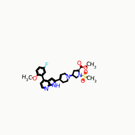 COC(=O)[C@@H]1CC(N2CC=C(c3cc4c(-c5cc(F)ccc5OC)ccnc4[nH]3)CC2)CN1S(C)(=O)=O